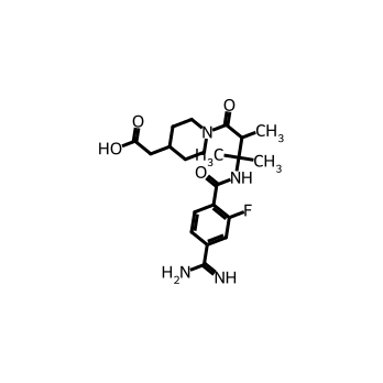 CC(C(=O)N1CCC(CC(=O)O)CC1)C(C)(C)NC(=O)c1ccc(C(=N)N)cc1F